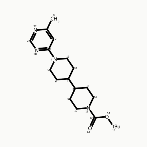 Cc1cc(N2CCC(C3CCN(C(=O)OC(C)(C)C)CC3)CC2)ncn1